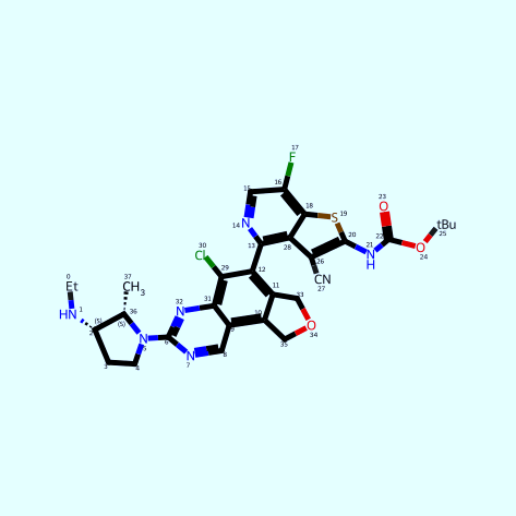 CCN[C@H]1CCN(c2ncc3c4c(c(-c5ncc(F)c6sc(NC(=O)OC(C)(C)C)c(C#N)c56)c(Cl)c3n2)COC4)[C@H]1C